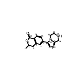 CC1Cc2cc(-c3cnc4n3CCNC4)ccc2C(=O)O1